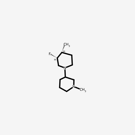 C[C@@H]1CCN(C2CCCN(C)C2)C[C@@H]1F